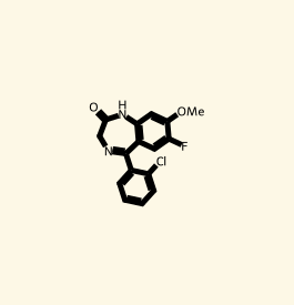 COc1cc2c(cc1F)C(c1ccccc1Cl)=NCC(=O)N2